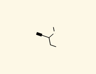 CCC(C#N)[Si]C